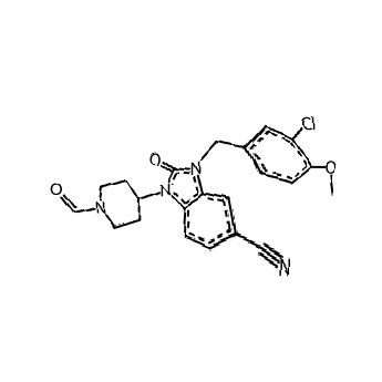 COc1ccc(Cn2c(=O)n(C3CCN(C=O)CC3)c3ccc(C#N)cc32)cc1Cl